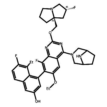 CCOc1cc2c(N3CC4CCC(C3)N4)nc(OC[C@@]34CCCN3C[C@H](F)C4)nc2c(F)c1-c1cc(O)cc2ccc(F)c(CC)c12